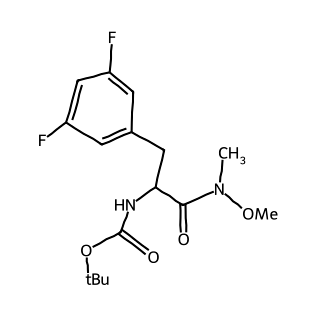 CON(C)C(=O)C(Cc1cc(F)cc(F)c1)NC(=O)OC(C)(C)C